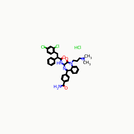 CN(C)CCCN1C(=O)C(NC(=O)C(Cc2ccc(Cl)cc2Cl)c2ccccc2)N=C(c2ccc(C(N)=O)cc2)c2ccccc21.Cl